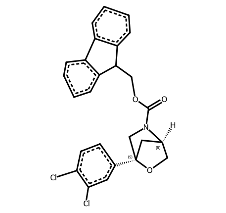 O=C(OCC1c2ccccc2-c2ccccc21)N1C[C@@]2(c3ccc(Cl)c(Cl)c3)C[C@@H]1CO2